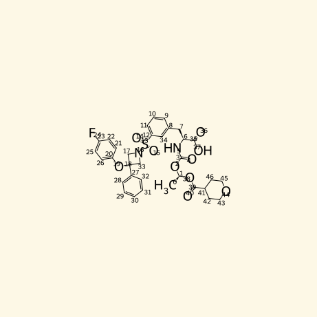 C[C@@H](OC(=O)N[C@@H](Cc1cccc(S(=O)(=O)N2CC(Oc3ccc(F)cc3)(c3ccccc3)C2)c1)C(=O)O)OC(=O)C1CCOCC1